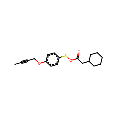 CC#CCOc1ccc(SOC(=O)CC2CCCCC2)cc1